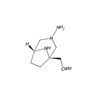 COC[C@]12CC[C@H](CN(N)C1)N2